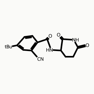 CC(C)(C)c1ccc(C(=O)NC2CCC(=O)NC2=O)c(C#N)c1